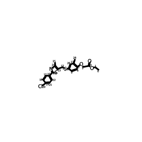 CCOC(=O)COc1ccc(SCc2sc(-c3ccc(Cl)cc3)nc2C)cc1C